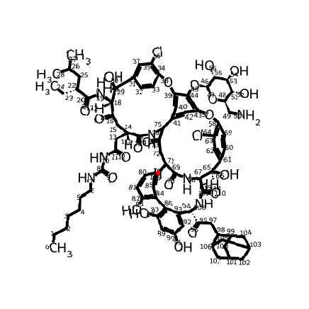 CCCCCCCNC(=O)NC(=O)C[C@@H]1CC(=O)[C@H](NC(=O)[C@H](CC)CC(C)C)[C@H](O)c2ccc(c(Cl)c2)Oc2cc3cc(c2O[C@@H]2O[C@H](CN)[C@@H](O)[C@H](O)[C@H]2O)Oc2ccc(cc2Cl)[C@@H](O)[C@@H]2NC(=O)[C@H](CC(=O)C3NC1=O)c1ccc(O)c(c1)-c1c(O)cc(O)cc1[C@@H](C(=O)CC1C3CC4CC(C3)CC1C4)NC2=O